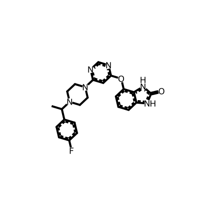 CC(c1ccc(F)cc1)N1CCN(c2cc(Oc3cccc4[nH]c(=O)[nH]c34)ncn2)CC1